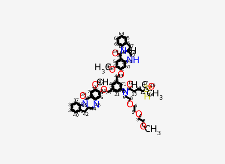 COCCOCCOCCN(C(=O)CCC[SH](C)(C)=O)c1cc(COc2cc3c(cc2OC)C(=O)N2c4ccccc4CC2C=N3)cc(COc2cc3c(cc2OC)C(=O)N2c4ccccc4C[C@H]2CN3)c1